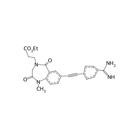 CCOC(=O)CCN1CC(=O)N(C)c2ccc(C#Cc3ccc(C(=N)N)cc3)cc2C1=O